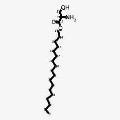 CCCCCCCCCCCCCCCCCCOC(=O)C(N)CO